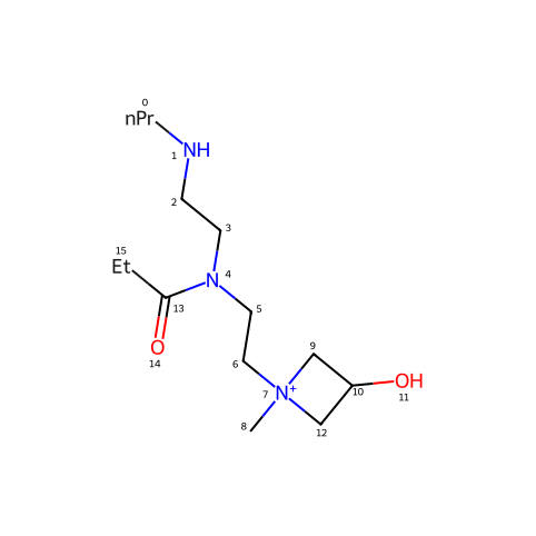 CCCNCCN(CC[N+]1(C)CC(O)C1)C(=O)CC